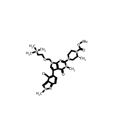 C[C@@H]1CN(c2nc3c(c(-c4ccc5nn(C)cc5c4Cl)cn3COCC[Si](C)(C)C)c(=O)n2C)CCN1C(=O)OC(C)(C)C